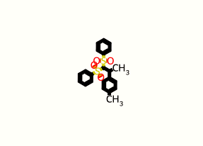 Cc1ccc(C(C)[C](S(=O)(=O)c2ccccc2)S(=O)(=O)c2ccccc2)cc1